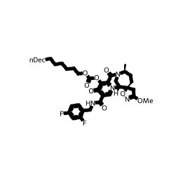 CCCCCCCCCCCCCCCCOC(=O)Oc1c2n(cc(C(=O)NCc3ccc(F)cc3F)c1=O)[C@@H]1CN(C2=O)[C@@H](C)CC[C@]12CC(OC)=NO2